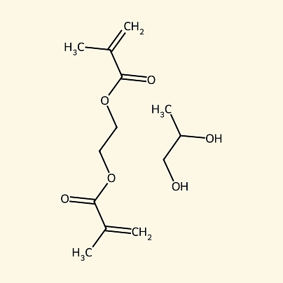 C=C(C)C(=O)OCCOC(=O)C(=C)C.CC(O)CO